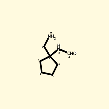 NCC1(NC=O)CCCC1